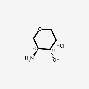 Cl.N[C@H]1COCC[C@@H]1O